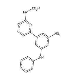 O=C(O)Nc1cc(-c2cc(Nc3ccccc3)cc([N+](=O)[O-])c2)ccn1